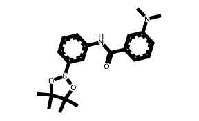 CN(C)c1cccc(C(=O)Nc2cccc(B3OC(C)(C)C(C)(C)O3)c2)c1